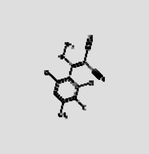 Cc1cc(Cl)c(C(NN)=C(C#N)C#N)c(Cl)c1Cl